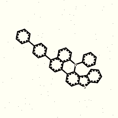 c1ccc(-c2ccc(-c3ccc4c5c(cccc35)N(c3ccccc3)c3c-4ccc4sc5ccccc5c34)cc2)cc1